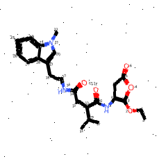 CCOC1OC(=O)CC1NC(=O)C(CC(=O)NCCc1cn(C)c2ccccc12)C(C)C